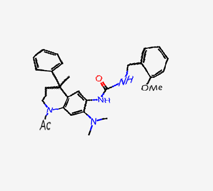 COc1ccccc1CNC(=O)Nc1cc2c(cc1N(C)C)N(C(C)=O)CCC2(C)c1ccccc1